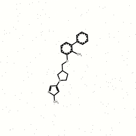 Cc1c(OCC2CCN(C3=CC(C)N=C3)C2)cccc1-c1ccccc1